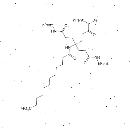 CCCCCNC(=O)CCC(CCC(=O)NCCCCC)(CCC(=O)C(CC)CCCCC)NC(=O)CCCCCCCCCCC(=O)O